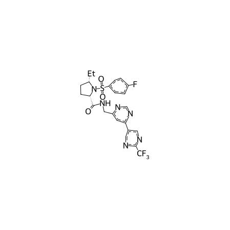 CC[C@H]1CC[C@@H](C(=O)NCc2cc(-c3cnc(C(F)(F)F)nc3)ncn2)N1S(=O)(=O)c1ccc(F)cc1